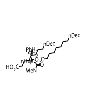 CCCCCCCC(=O)NC.CCCCCCCCCCCCCCCCCC(=O)O.CCCCCCCCCCCCCCCCCC(=O)O.[AlH3].[PbH2]